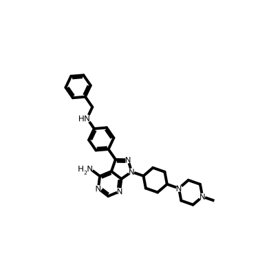 CN1CCN(C2CCC(n3nc(-c4ccc(NCc5ccccc5)cc4)c4c(N)ncnc43)CC2)CC1